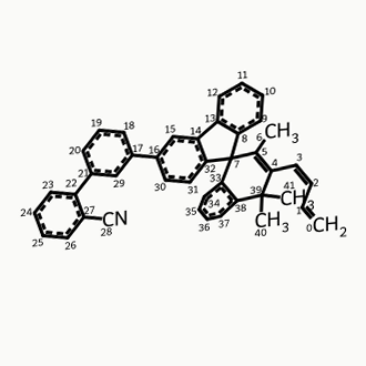 C=C/C=C\C1=C(C)C2(c3ccccc3-c3cc(-c4cccc(-c5ccccc5C#N)c4)ccc32)c2ccccc2C1(C)C